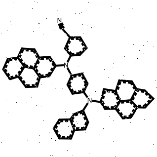 N#Cc1cccc(N(c2ccc(N(c3ccc4ccccc4c3)c3cc4ccc5cccc6ccc(c3)c4c56)cc2)c2cc3ccc4cccc5ccc(c2)c3c45)c1